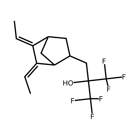 CC=C1C(=CC)C2CC1CC2CC(O)(C(F)(F)F)C(F)(F)F